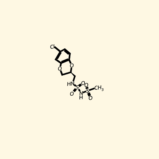 CS(=O)(=O)NS(=O)(=O)NC[C@H]1COc2cc(Cl)ccc2O1